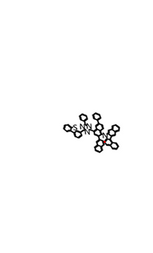 c1ccc(-c2ccc3c(-n4c5cc6ccccc6cc5c5c6ccccc6ccc54)c(-c4ccc5ccccc5c4)cc(-c4nc(-c5ccccc5)nc(-c5cccc6c5sc5ccccc56)n4)c3c2)cc1